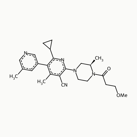 COCCC(=O)N1CCN(c2nc(C3CC3)c(-c3cncc(C)c3)c(C)c2C#N)C[C@H]1C